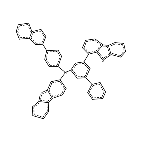 c1ccc(-c2cc(-c3cccc4c3sc3ccccc34)cc(N(c3ccc(-c4ccc5ccccc5c4)cc3)c3ccc4c(c3)sc3ccccc34)c2)cc1